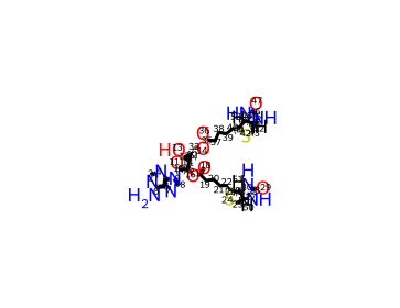 Nc1ncnc2c1ncn2[C@@H]1OC2(O)C(C1OC(=O)CCCC[C@@H]1SC[C@@H]3NC(=O)N[C@@H]31)[C@H]2COC(=O)CCCC[C@@H]1SC[C@@H]2NC(=O)N[C@@H]21